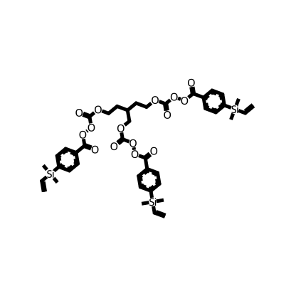 C=C[Si](C)(C)c1ccc(C(=O)OOC(=O)OCCC(CCOC(=O)OOC(=O)c2ccc([Si](C)(C)C=C)cc2)COC(=O)OOC(=O)c2ccc([Si](C)(C)C=C)cc2)cc1